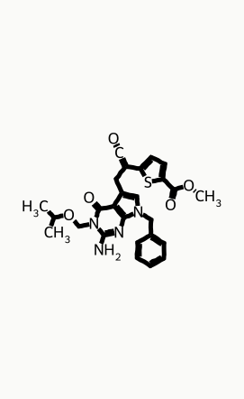 COC(=O)c1ccc(C(=C=O)Cc2cn(Cc3ccccc3)c3nc(N)n(COC(C)C)c(=O)c23)s1